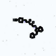 O=C(/C=C/c1ccc(O)cc1)CC(=O)/C=C/c1cn(Cc2ccccc2)c2ccccc12